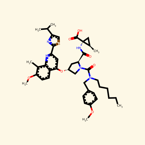 CCCCCCN(Cc1ccc(OC)cc1)C(=O)N1C[C@H](Oc2cc(-c3nc(C(C)C)cs3)nc3c(C)c(OC)ccc23)C[C@H]1C(=O)N[C@]1(C(=O)O)C[C@H]1C